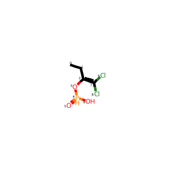 CCC(O[PH](=O)O)=C(Cl)Cl